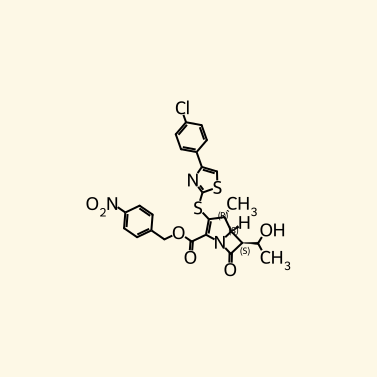 CC(O)[C@H]1C(=O)N2C(C(=O)OCc3ccc([N+](=O)[O-])cc3)=C(Sc3nc(-c4ccc(Cl)cc4)cs3)[C@H](C)[C@H]12